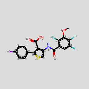 COc1c(F)c(F)cc(C(=O)Nc2csc(-c3ccc(I)cc3)c2C(=O)O)c1F